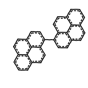 c1cc2ccc3ccc(-c4ccc5ccc6cccc7ccc4c5c67)c4ccc(c1)c2c34